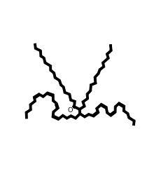 CCCCC/C=C\C/C=C\C/C=C\C/C=C\CCCC[C](CC/C=C\C/C=C\C/C=C\C/C=C\CCCCC)C(CCCCCCCCCCCCCCCC)C(=O)CCCCCCCCCCCCCCCCC